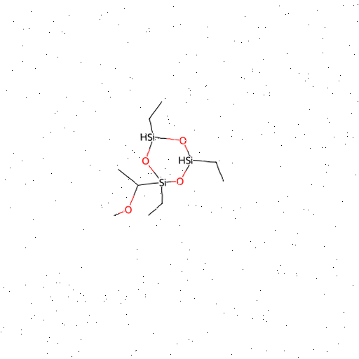 CC[SiH]1O[SiH](CC)O[Si](CC)(C(C)OC)O1